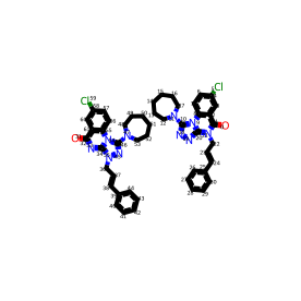 O=c1c2cc(Cl)ccc2n2c(N3CCCCCC3)nnc2n1C/C=C/c1ccccc1.O=c1nc2n(C/C=C/c3ccccc3)nc(N3CCCCCC3)n2c2ccc(Cl)cc12